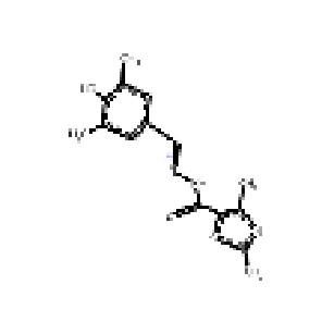 Cc1nc(C)c(C(=O)N/N=C/c2cc(C)c(O)c(C)c2)s1